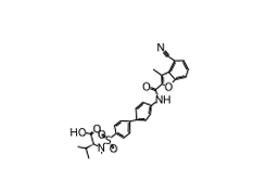 Cc1c(C(=O)Nc2ccc(-c3ccc(S(=O)(=O)N(C)[C@H](C(=O)O)C(C)C)cc3)cc2)oc2cccc(C#N)c12